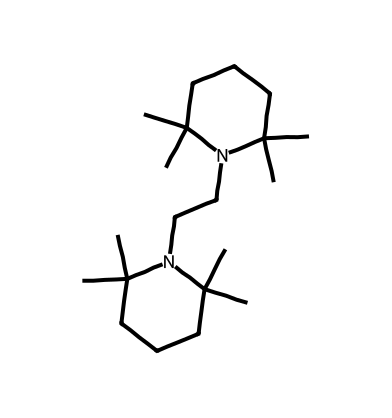 CC1(C)CCCC(C)(C)N1CCN1C(C)(C)CCCC1(C)C